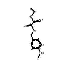 CCOC(=O)C(=O)OCc1ccc(OC)cc1